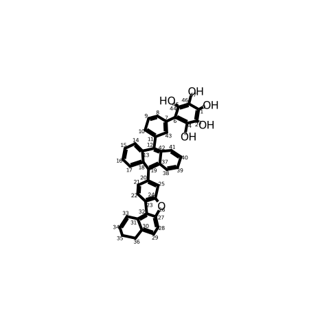 Oc1c(O)c(O)c(-c2cccc(-c3c4ccccc4c(-c4ccc5c(c4)oc4ccc6c(c45)C=CCC6)c4ccccc34)c2)c(O)c1O